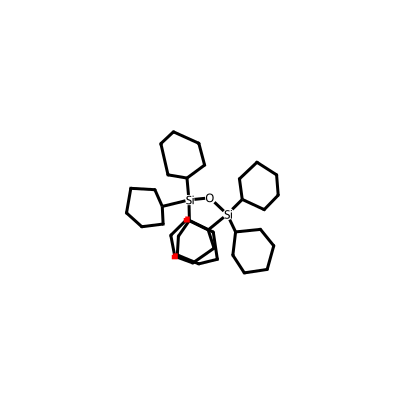 C1CCC([Si](O[Si](C2CCCCC2)(C2CCCCC2)C2CCCCC2)(C2CCCCC2)C2CCCCC2)CC1